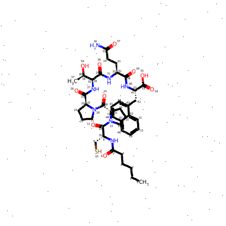 CCCCCC(=O)N[C@H](CS)C(=O)N1CCC[C@H]1C(=O)N1CCC[C@H]1C(=O)N[C@H](C(=O)N[C@@H](CCC(N)=O)C(=O)N[C@@H](Cc1cccc2ccccc12)C(=O)O)[C@@H](C)O